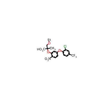 [CH2]COCC(C)(Oc1cc(Oc2ccc(C(F)(F)F)cc2Cl)ccc1[N+](=O)[O-])C(=O)O